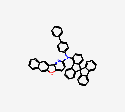 c1ccc(-c2ccc(N(c3ccc4oc5cc6ccccc6cc5c4n3)c3cccc4c3-c3ccccc3C43c4ccccc4-c4ccccc43)cc2)cc1